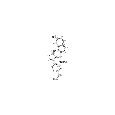 CC(=O)N[C@@H]1C[C@H](NC(C)(C)C)CC[C@@H]1N1CCC(Nc2ncnc3cnc(C(C)(C)C)nc23)C1=O